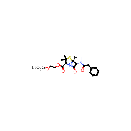 CCOC(=O)OCCOC(=O)[C@@H]1N2C(=O)[C@@H](NC(=O)Cc3ccccc3)[C@H]2SC1(C)C